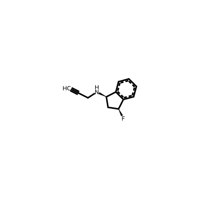 C#CCN[C@@H]1C[C@H](F)c2ccccc21